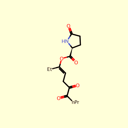 CCCC(=O)C(=O)CC=C(CC)OC(=O)[C@@H]1CCC(=O)N1